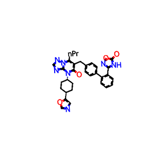 CCCc1c(Cc2ccc(-c3ccccc3-c3noc(=O)[nH]3)cc2)c(=O)n([C@H]2CC[C@H](c3cnco3)CC2)c2ncnn12